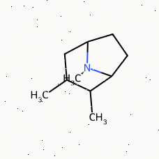 CC1CC2CCC(C1C)N2C